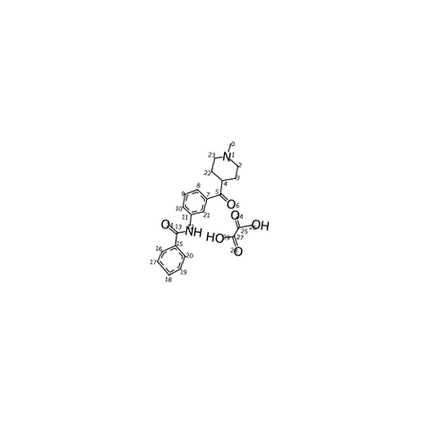 CN1CCC(C(=O)c2cccc(NC(=O)c3ccccc3)c2)CC1.O=C(O)C(=O)O